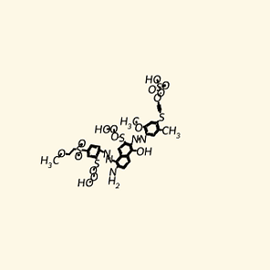 COCCS(=O)(=O)c1ccc(N=Nc2c(N)ccc3c(O)c(N=Nc4cc(C)c(SC#COOS(=O)(=O)O)cc4OC)c(SOOO)cc23)c(SOOO)c1